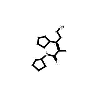 CC(C(=O)OC1CCCC1)=C(CCO)C1CCCC1